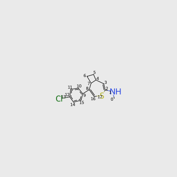 CNC1=CC2CCC2C(c2ccc(Cl)cc2)=CS1